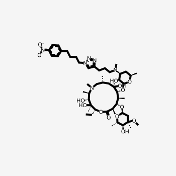 CC[C@H]1OC(=O)[C@H](C)[C@@H](O[C@H]2C[C@@](C)(OC)[C@@H](O)[C@H](C)O2)[C@H](C)[C@@H](O[C@@H]2O[C@H](C)C[C@H](N(C)CCCc3cn(CCCCc4ccc([N+](=O)[O-])cc4)nn3)[C@H]2O)[C@](C)(O)C[C@@H](C)CN(C)[C@H](C)[C@@H](O)[C@]1(C)O